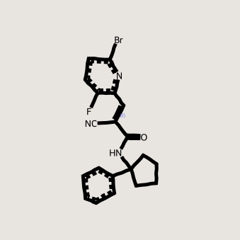 N#C/C(=C\c1nc(Br)ccc1F)C(=O)NC1(c2ccccc2)CCCC1